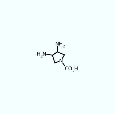 NC1CN(C(=O)O)CC1N